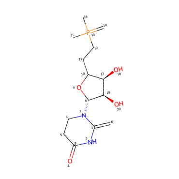 C=C1NC(=O)CCN1[C@@H]1OC(CCP(=C)(C)C)[C@@H](O)[C@H]1O